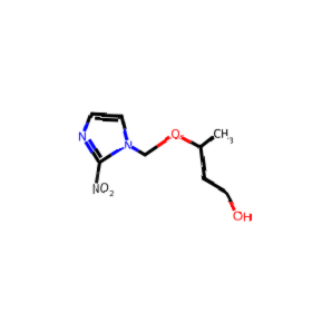 CC(CCO)OCn1ccnc1[N+](=O)[O-]